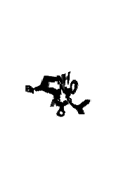 CC(C)n1c(=O)nc2c(Br)c[nH]n2c1=O